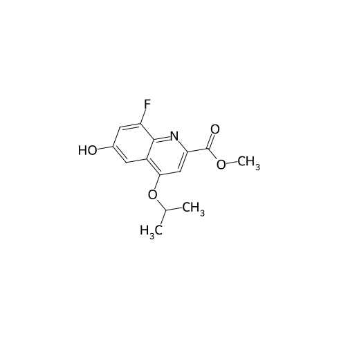 COC(=O)c1cc(OC(C)C)c2cc(O)cc(F)c2n1